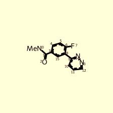 CNC(=O)c1ccc(F)c(-c2cccnn2)c1